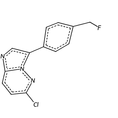 FCc1ccc(-c2cnc3ccc(Cl)nn23)cc1